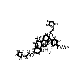 COc1ccc(C2(OCCN3CCCC3)CC[C@@]3(O)[C@@H]4CCC5=CC(OCCN6CCCC6)CC[C@]5(C)[C@@H]4CC[C@]23C)cc1